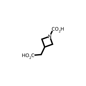 O=C(O)CC1CN(C(=O)O)C1